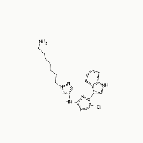 NCCCCCCCn1cc(Nc2ncc(Cl)c(-c3c[nH]c4ccccc34)n2)cn1